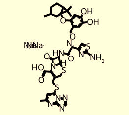 Cc1cc(SCC2=C(C(=O)O)N3C(=O)[C@@H](NC(=O)C(=NOCc4cc(O)c(O)cc4OC45CC(C)CCC4C5(C)C)c4csc(N)n4)[C@H]3SC2)n2ncnc2n1.[Na].[Na].[Na]